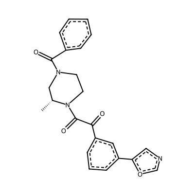 C[C@@H]1CN(C(=O)c2ccccc2)CCN1C(=O)C(=O)c1cccc(-c2cnco2)c1